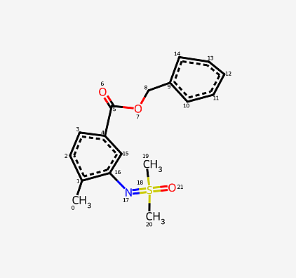 Cc1ccc(C(=O)OCc2ccccc2)cc1N=S(C)(C)=O